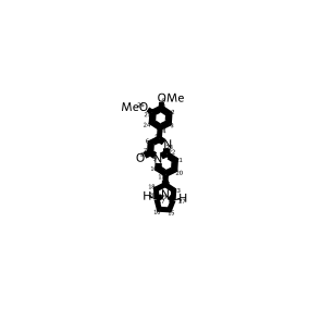 COc1ccc(-c2cc(=O)n3cc(C4C[C@H]5CC[C@@H](C4)N5)ccc3n2)cc1OC